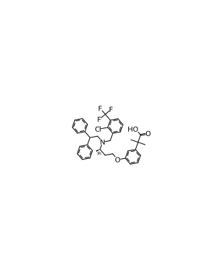 C[C@H](CCOc1cccc(C(C)(C)C(=O)O)c1)N(Cc1cccc(C(F)(F)F)c1Cl)CC(c1ccccc1)c1ccccc1